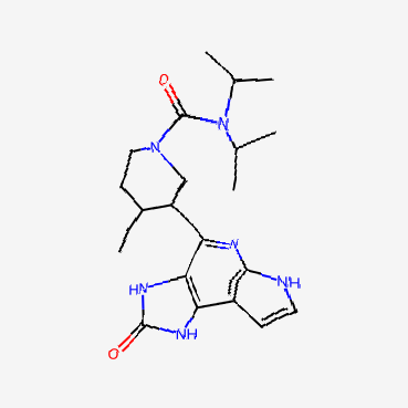 CC1CCN(C(=O)N(C(C)C)C(C)C)CC1c1nc2[nH]ccc2c2[nH]c(=O)[nH]c12